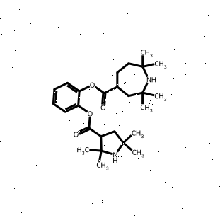 CC1(C)CCC(C(=O)Oc2ccccc2OC(=O)C2CC(C)(C)NC2(C)C)CC(C)(C)N1